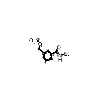 [CH2]CNC(=O)c1cccc(CO[N+](=O)[O-])c1